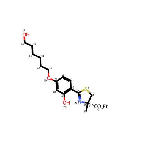 CCOC(=O)[C@@]1(C)CSC(c2ccc(OCCCCCCO)cc2O)=N1